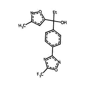 CCC(O)(c1ccc(-c2noc(C(F)(F)F)n2)cc1)c1cc(C)no1